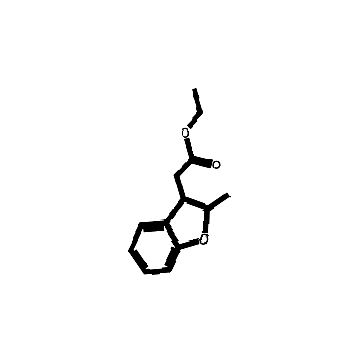 CCOC(=O)CC1c2ccccc2OC1C